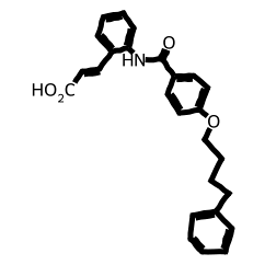 O=C(O)/C=C/c1ccccc1NC(=O)c1ccc(OCCCCc2ccccc2)cc1